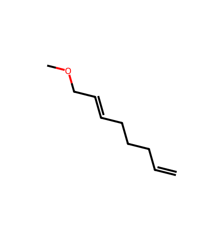 C=CCCCC=CCOC